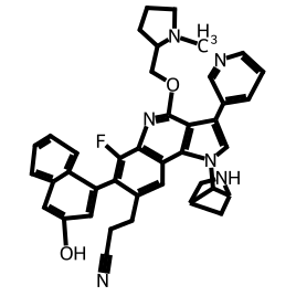 CN1CCCC1COc1nc2c(F)c(-c3cc(O)cc4ccccc34)c(CCC#N)cc2c2c1c(-c1cccnc1)cn2C1C2CNC1C2